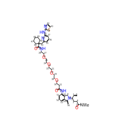 C=CC(CCC(=O)NC)N1Cc2c(NC(=O)CCOCCOCCOCCOCCNC(=O)C3(Cc4cccc(Nc5nccs5)n4)CCCCC3)cccc2C1=C